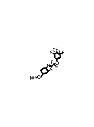 COCc1ccc2nc(C(F)(F)Oc3cc(F)c(C(F)(F)F)c(F)c3)sc2c1